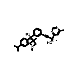 Cc1cc([C@@](C)(O)C#Cc2cccc([C@@](O)(c3ccc(C(C)C)cc3)C3(C)CN(C)C3)c2)ncn1